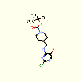 CC(C)(C)OC(=O)N1CCC(CNc2nc(Cl)ncc2Br)CC1